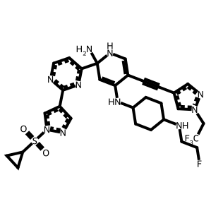 NC1(c2ccnc(-c3cnn(S(=O)(=O)C4CC4)c3)n2)C=C(NC2CCC(NCCF)CC2)C(C#Cc2cnn(CC(F)(F)F)c2)=CN1